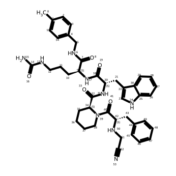 Cc1ccc(CNC(=O)[C@H](CCCNC(N)=O)NC(=O)[C@H](Cc2c[nH]c3ccccc23)NC(=O)[C@@H]2CCCCN2C(=O)[C@H](Cc2ccccc2)NCC#N)cc1